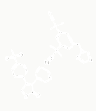 CC(C)(C#N)c1cc(Cn2cncn2)cc(C(C)(C)C#N)c1.CS(=O)(=O)c1ccc(C2=C(c3ccccc3)C(=O)OC2)cc1